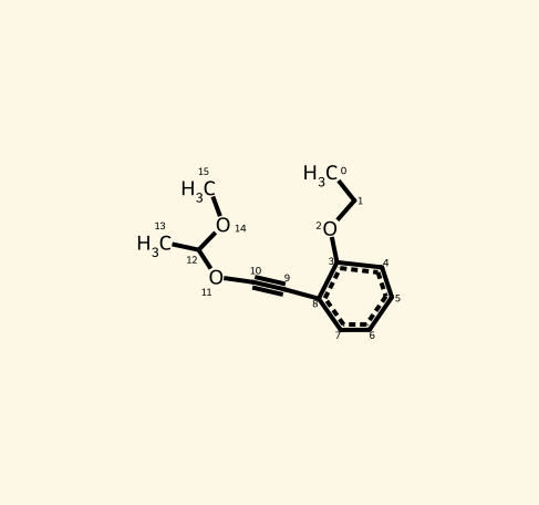 CCOc1ccccc1C#COC(C)OC